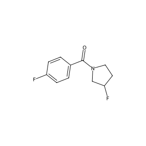 O=C(c1ccc(F)cc1)N1CCC(F)C1